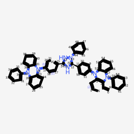 C=CC1=C(/C=C\C)N(c2ccc([C@H]3N[C@@H](C(=C)/C=C\C(=C/C)N4c5ccccc5N(c5ccccc5)c5ccccc54)NN3c3ccccc3)cc2)c2ccccc2N1c1ccccc1